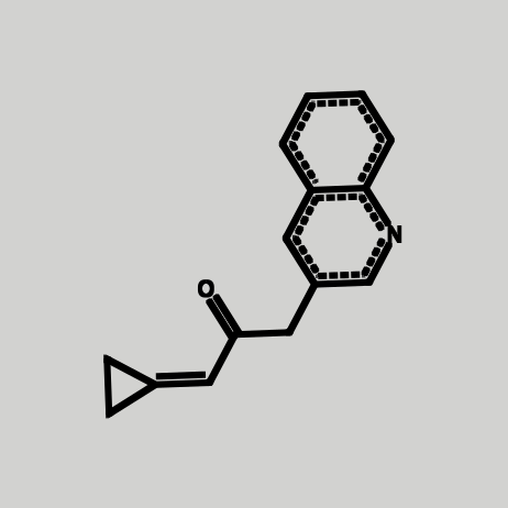 O=C(C=C1CC1)Cc1cnc2ccccc2c1